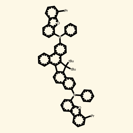 CC(C)c1cccc2c1oc1c(N(c3ccccc3)c3ccc4c5c(ccc4c3)-c3c(c4ccc(N(c6ccccc6)c6cccc7c6oc6c(C(C)C)cccc67)cc4c4ccccc34)C5(C(C)(C)C)C(C)(C)C)cccc12